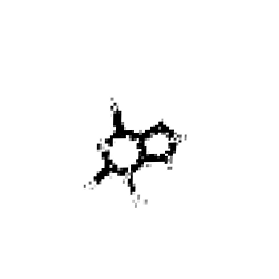 Cn1c(=O)[nH]c(=O)c2conc21